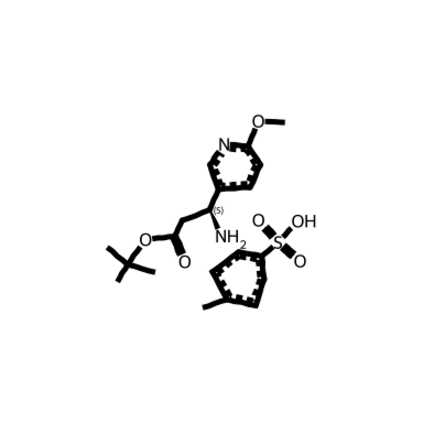 COc1ccc([C@@H](N)CC(=O)OC(C)(C)C)cn1.Cc1ccc(S(=O)(=O)O)cc1